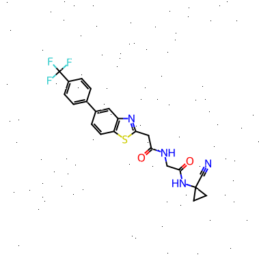 N#CC1(NC(=O)CNC(=O)Cc2nc3cc(-c4ccc(C(F)(F)F)cc4)ccc3s2)CC1